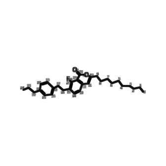 CCCCCCCCCCc1cc2ccc(CCc3ccc(CCC)cc3)c(F)c2c(=O)o1